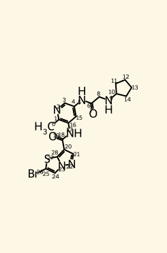 Cc1ncc(NC(=O)CNC2CCCC2)cc1NC(=O)c1cnn2cc(Br)sc12